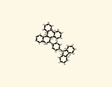 c1ccc2c(c1)nc(-c1ccc(-n3c4ccccc4c4ccccc43)cc1)c1c3ccccc3c3ccccc3c21